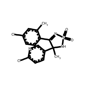 Cc1cc(Cl)ccc1C1=NS(=O)(=O)NC1(C)c1ccc(Cl)nc1